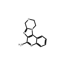 Nc1nc2ccccc2c2c1nc1n2CCOC1